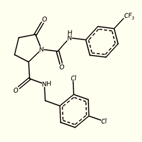 O=C(NCc1ccc(Cl)cc1Cl)C1CCC(=O)N1C(=O)Nc1cccc(C(F)(F)F)c1